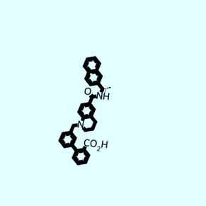 C[C@H](NC(=O)c1ccc2c(c1)CCCN2Cc1cccc(-c2ccccc2C(=O)O)c1)c1ccc2ccccc2c1